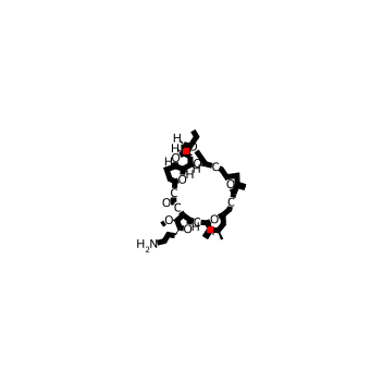 C=C1CC2CCC3O[C@@H]4[C@@H]5OC(CC)[C@H](O3)[C@@H]5O[C@H]3CCC(CC(=O)CC5[C@H](C[C@H]6OC(CCC1O2)C[C@@H](C)C6=C)O[C@H](CCCN)[C@@H]5OC)O[C@H]43